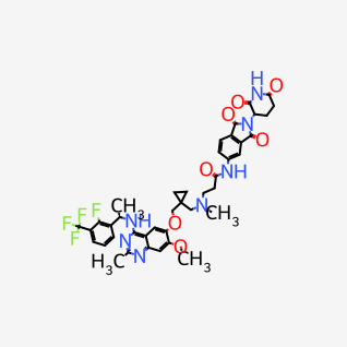 COc1cc2nc(C)nc(N[C@H](C)c3cccc(C(F)(F)F)c3F)c2cc1OCC1(CN(C)CCC(=O)Nc2ccc3c(c2)C(=O)N(C2CCC(=O)NC2=O)C3=O)CC1